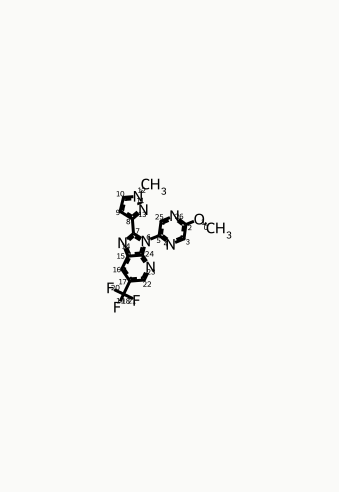 COc1cnc(-n2c(-c3ccn(C)n3)nc3cc(C(F)(F)F)cnc32)cn1